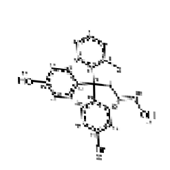 Cc1ccccc1C(C/C=N/O)(c1ccc(O)cc1)c1ccc(Br)cc1